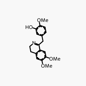 COc1ccc(CC2=NCCc3cc(OC)c(OC)cc32)cc1O